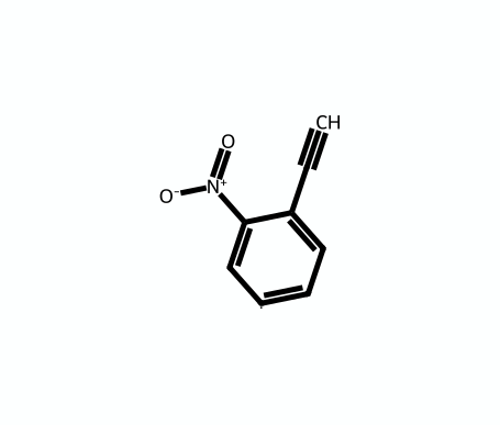 C#Cc1cc[c]cc1[N+](=O)[O-]